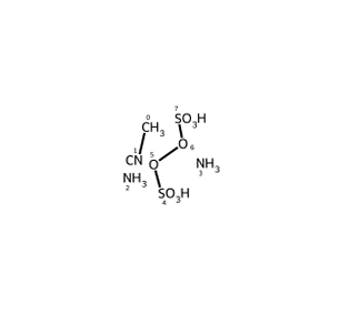 CC#N.N.N.O=S(=O)(O)OOS(=O)(=O)O